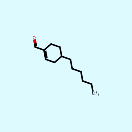 CCCCCCC1CC=C(C=O)CC1